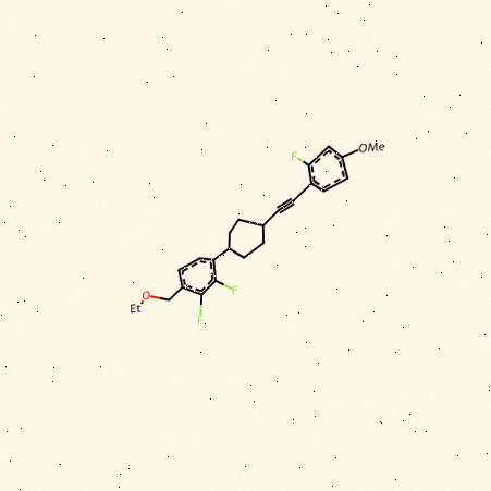 CCOCc1ccc(C2CCC(C#Cc3ccc(OC)cc3F)CC2)c(F)c1F